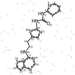 O=C(Nc1ccccn1)Nc1ncc(CCNc2ncnc3ccsc23)s1